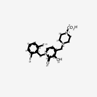 O=C(O)N1CCN(Cc2ccn(Cc3c(F)cccc3F)c(=O)c2O)CC1